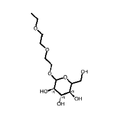 CCOCCOCCOC1OC(CO)[C@@H](O)[C@H](O)[C@H]1O